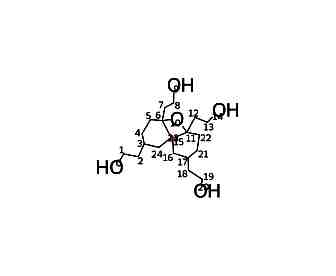 OCCC1CCC(CCO)(OC2(CCO)CCC(CCO)CC2)CC1